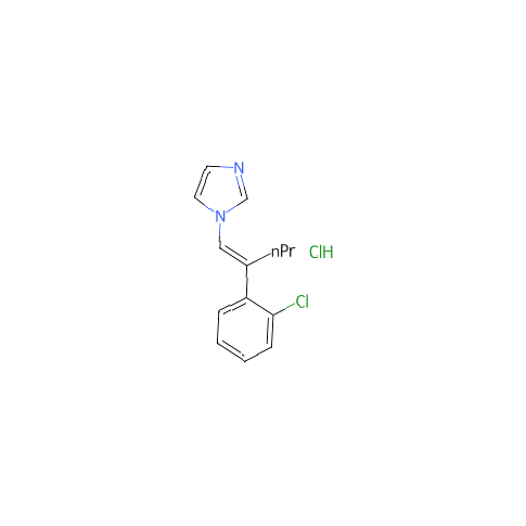 CCCC(=Cn1ccnc1)c1ccccc1Cl.Cl